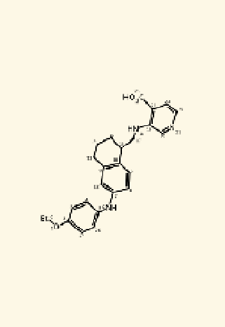 CCOc1ccc(Nc2ccc3c(c2)CCC[C@H]3CNc2cnccc2C(=O)O)cc1